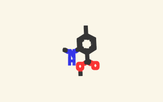 CNc1cc(C)ccc1C(=O)OC